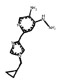 NNc1cc(-c2cn(CC3CC3)cn2)ncc1N